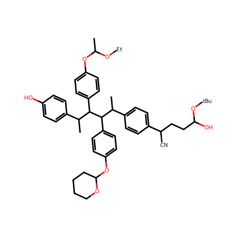 CCOC(C)Oc1ccc(C(C(C)c2ccc(O)cc2)C(c2ccc(OC3CCCCO3)cc2)C(C)c2ccc(C(C#N)CCC(O)OC(C)(C)C)cc2)cc1